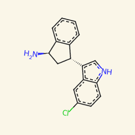 N[C@@H]1C[C@@H](c2c[nH]c3ccc(Cl)cc23)c2ccccc21